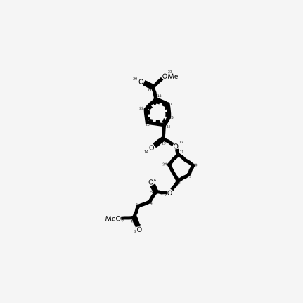 COC(=O)CCC(=O)OC1CCC(OC(=O)c2ccc(C(=O)OC)cc2)C1